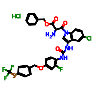 Cl.NC(C(=O)OCc1ccccc1)C(=O)n1cc(NC(=O)Nc2ccc(OCc3ccc(SC(F)(F)F)cc3)cc2F)c2cc(Cl)ccc21